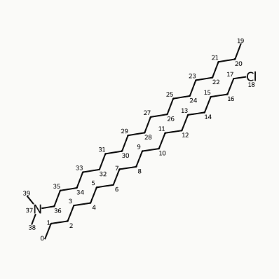 CCCCCCCCCCCCCCCCCCCl.CCCCCCCCCCCCCCCCCCN(C)C